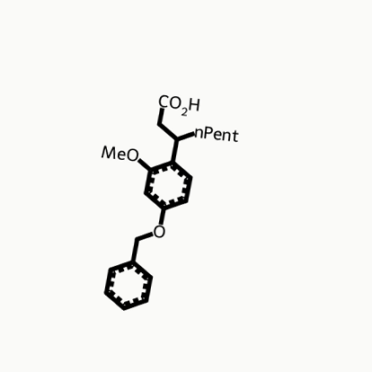 CCCCCC(CC(=O)O)c1ccc(OCc2ccccc2)cc1OC